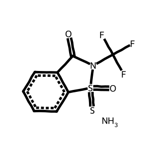 N.O=C1c2ccccc2S(=O)(=S)N1C(F)(F)F